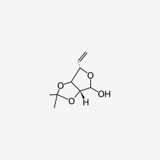 C=C[C@@H]1OC(O)[C@@H]2OC(C)(C)OC21